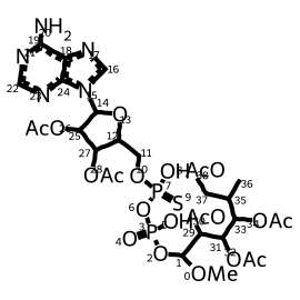 COC(OP(=O)(O)OP(O)(=S)OCC1OC(n2cnc3c(N)ncnc32)C(OC(C)=O)C1OC(C)=O)C(OC(C)=O)C(OC(C)=O)C(OC(C)=O)C(C)COC(C)=O